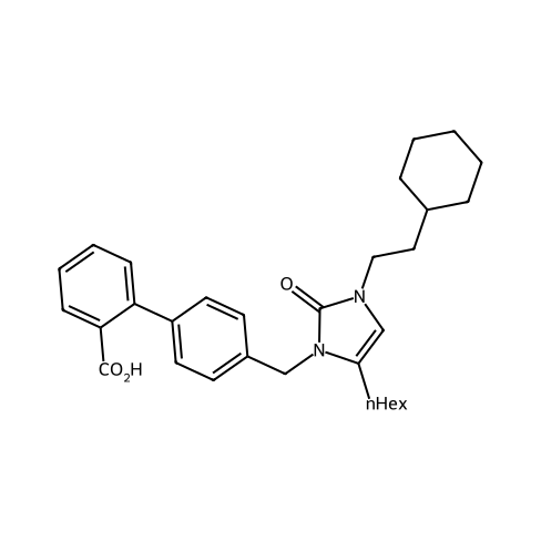 CCCCCCc1cn(CCC2CCCCC2)c(=O)n1Cc1ccc(-c2ccccc2C(=O)O)cc1